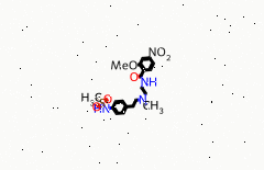 COc1cc([N+](=O)[O-])ccc1C(=O)NCCN(C)CCc1ccc(NS(C)(=O)=O)cc1